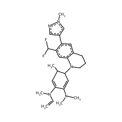 C=CN(C)C1=CC(C)C(N2CCCc3cc(-c4cnn(C)c4)c(C(F)F)cc32)C=C1N(C)C